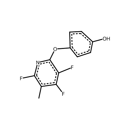 Cc1c(F)nc(Oc2ccc(O)cc2)c(F)c1F